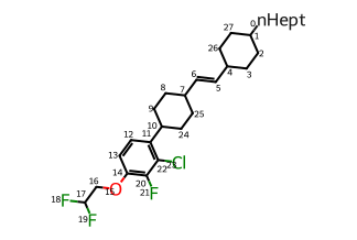 CCCCCCCC1CCC(/C=C/C2CCC(c3ccc(OCC(F)F)c(F)c3Cl)CC2)CC1